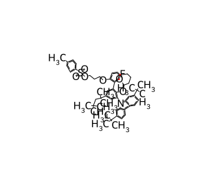 Cc1ccc(S(=O)(=O)OCCCOc2ccc(F)cc2-c2cc(C(C)(C)CC(C)(C)C)cc(-n3c4cc(C(C)(C)C)ccc4c4ccc(C(C)(C)C)cc43)c2OC2CCCCO2)cc1